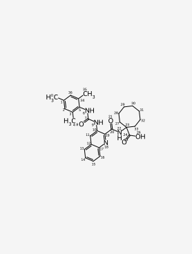 Cc1cc(C)c(NC(=O)Nc2cc3ccccc3nc2C(=O)NC2(C(=O)O)CCCCCCC2)c(C)c1